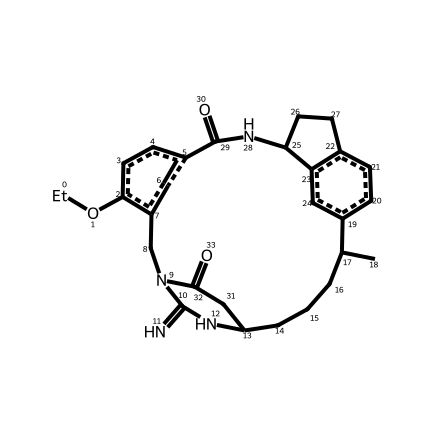 CCOc1ccc2cc1CN1C(=N)NC(CCCC(C)c3ccc4c(c3)C(CC4)NC2=O)CC1=O